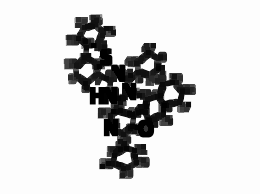 c1ccc(C2=NC(c3cccc4c3sc3ccccc34)NC(c3cnc(-c4ccccc4)c4oc5cc6ccccc6cc5c34)=N2)cc1